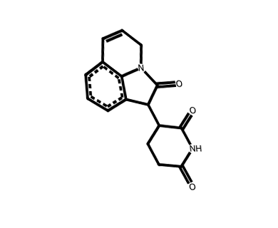 O=C1CCC(C2C(=O)N3CC=Cc4cccc2c43)C(=O)N1